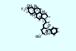 C[C@@H](CC(C[C@H](O)C(C)(C)C)S(=O)(=O)c1ccccc1)[C@@H]1CC[C@H]2[C@@H]3CC[C@H]4C[C@](O)(C(F)(F)F)CC[C@]4(C)[C@H]3CC[C@@]21C